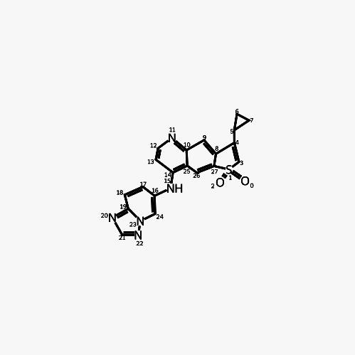 O=S1(=O)C=C(C2CC2)c2cc3nccc(Nc4ccc5ncnn5c4)c3cc21